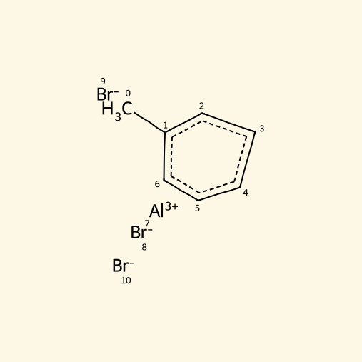 Cc1ccccc1.[Al+3].[Br-].[Br-].[Br-]